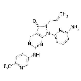 C=CCn1c(=O)c2cnc(Nc3ccc(C(F)(F)F)nc3)nc2n1-c1cccc(N)n1